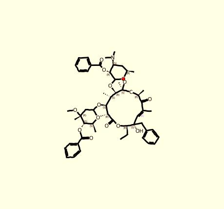 CC[C@H]1OC(=O)[C@H](C)[C@@H](OC2C[C@@](C)(OC)[C@@H](OC(=O)c3ccccc3)[C@H](C)O2)[C@H](C)[C@@H](OC2O[C@H](C)C[C@H](N(C)C)[C@H]2OC(=O)c2ccccc2)[C@@](C)(OC)C[C@@H](C)C(=O)/C(C)=C/[C@@]1(O)Cc1ccccc1